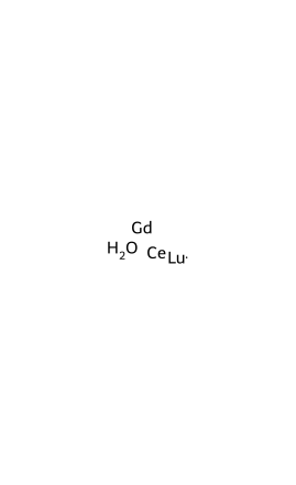 O.[Ce].[Gd].[Lu]